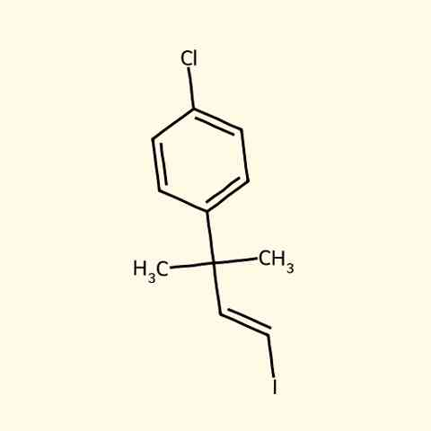 CC(C)(C=CI)c1ccc(Cl)cc1